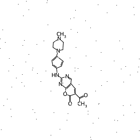 CC(=O)c1cc2cnc(Nc3ccc(N4CCN(C)CC4)cc3)nc2oc1=O